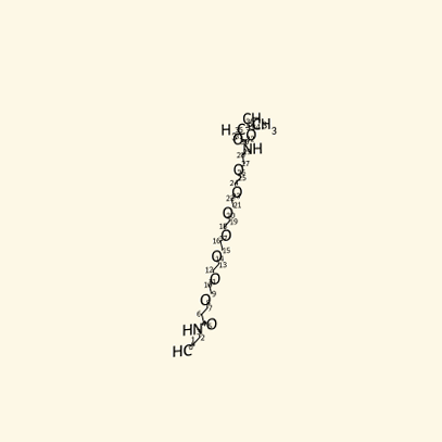 C#CCNC(=O)CCOCCOCCOCCOCCOCCOCCOCCNC(=O)OC(C)(C)C